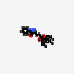 CC(C)(C)OC(=O)CCCC(=O)Nc1ccccc1